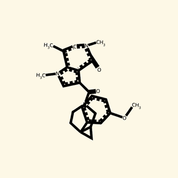 COc1cccc(C23CCN(C(=O)c4cn(C)c5c(C)cn(C)c(=O)c45)CC2C3)c1